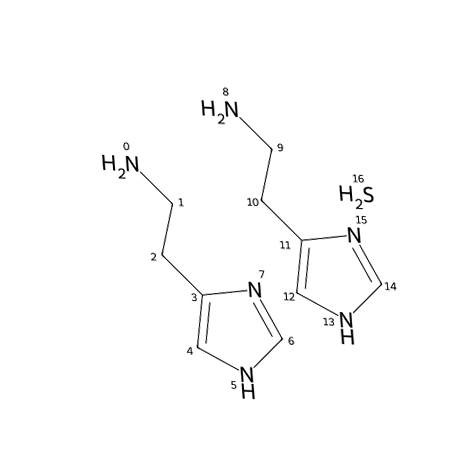 NCCc1c[nH]cn1.NCCc1c[nH]cn1.S